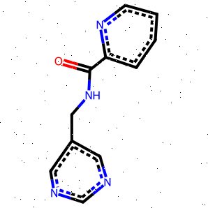 O=C(NCc1cncnc1)c1ccccn1